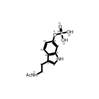 CC(=O)NCCc1c[nH]c2cc(OP(=O)(O)O)ccc12